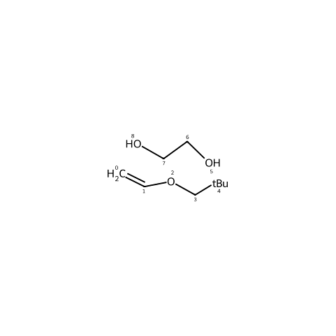 C=COCC(C)(C)C.OCCO